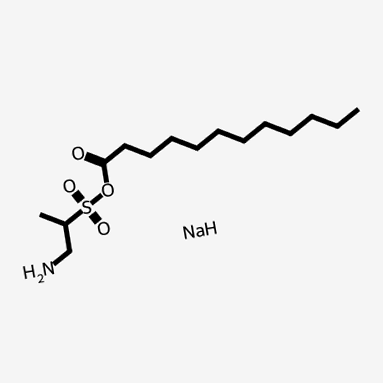 CCCCCCCCCCCC(=O)OS(=O)(=O)C(C)CN.[NaH]